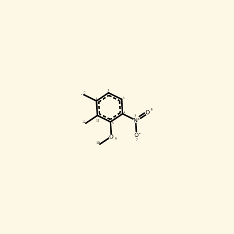 [CH2]c1ccc([N+](=O)[O-])c(OC)c1C